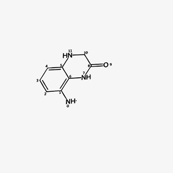 [NH]c1cccc2c1NC(=O)CN2